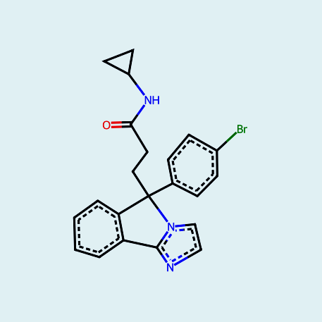 O=C(CCC1(c2ccc(Br)cc2)c2ccccc2-c2nccn21)NC1CC1